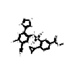 COC(=O)c1ccc(C2CC2)c(S(=O)(=O)Nc2cc(C#N)c(F)cc2-c2cscn2)c1